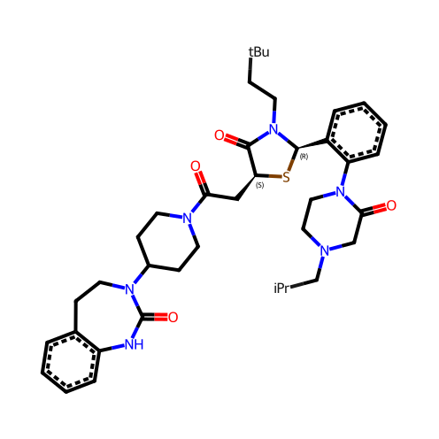 CC(C)CN1CCN(c2ccccc2[C@H]2S[C@@H](CC(=O)N3CCC(N4CCc5ccccc5NC4=O)CC3)C(=O)N2CCC(C)(C)C)C(=O)C1